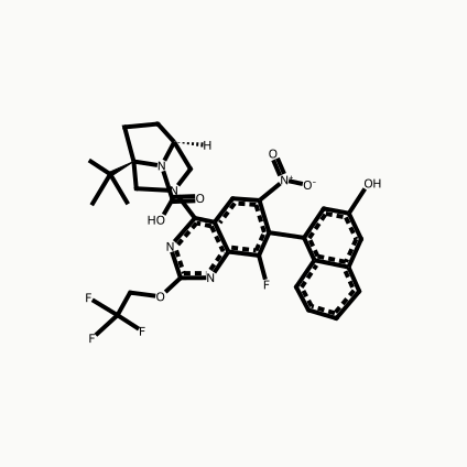 CC(C)(C)[C@]12CC[C@@H](CN(c3nc(OCC(F)(F)F)nc4c(F)c(-c5cc(O)cc6ccccc56)c([N+](=O)[O-])cc34)C1)N2C(=O)O